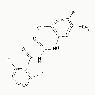 O=C(NC(=O)c1c(F)cccc1F)Nc1cc(C(F)(F)F)c(Br)cc1Cl